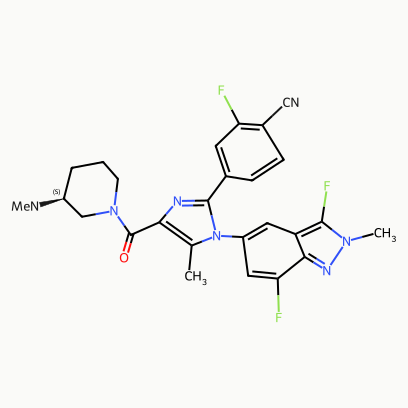 CN[C@H]1CCCN(C(=O)c2nc(-c3ccc(C#N)c(F)c3)n(-c3cc(F)c4nn(C)c(F)c4c3)c2C)C1